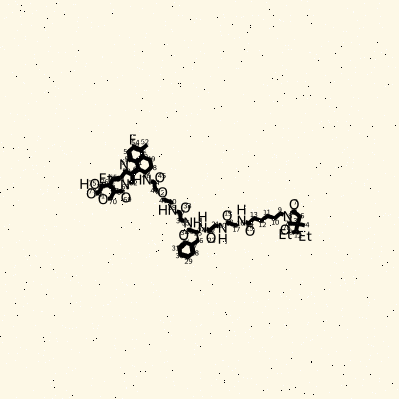 CCC(CC)C1(C)CC(=O)N(CCCCCC(=O)NCC(=O)NCC(=O)N[C@@H](Cc2ccccc2)C(=O)NCC(=O)NCCOCC(=O)N[C@H]2CCc3c(C)c(F)cc4nc5c(c2c34)Cn2c-5cc3c(c2=O)COC(=O)[C@]3(O)CC)C1=O